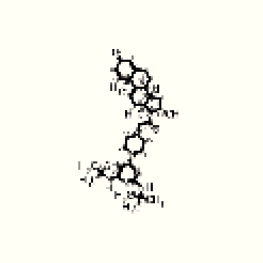 C[C@@H]1C[C@H]2[C@@H]3CCC4=CC(=O)C=C[C@]4(C)C3=CC[C@]2(C)[C@H]1C(=O)CN1CCN(c2cc(NC(C)(C)C)nc(NC(C)(C)C)n2)CC1